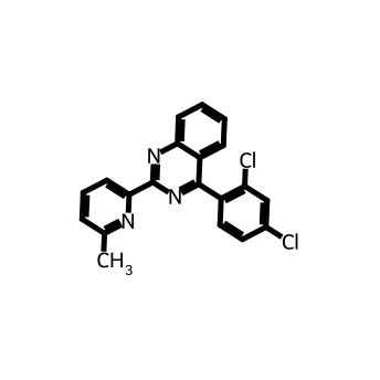 Cc1cccc(-c2nc(-c3ccc(Cl)cc3Cl)c3ccccc3n2)n1